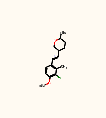 CCCCOc1ccc(/C=C/C2CCC(CCCC)OC2)c(C)c1F